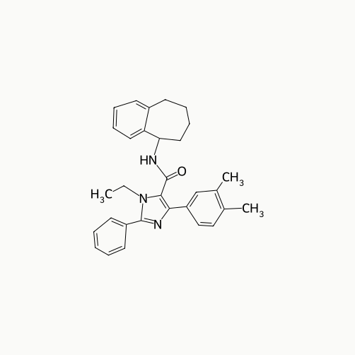 CCn1c(-c2ccccc2)nc(-c2ccc(C)c(C)c2)c1C(=O)NC1CCCCc2ccccc21